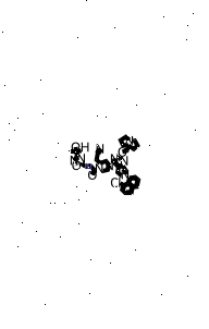 CC(C)(O)c1noc(/C=C/C(=O)N2CCN(c3nc(OCC45CCCN4CCC5)nc4c3CCN(c3cccc5cccc(Cl)c35)C4)CC2CC#N)n1